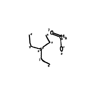 CC[S+](CC)CC.O=[PH2][O-]